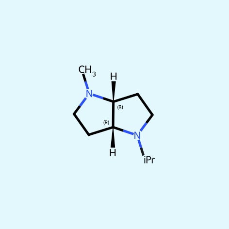 CC(C)N1CC[C@@H]2[C@H]1CCN2C